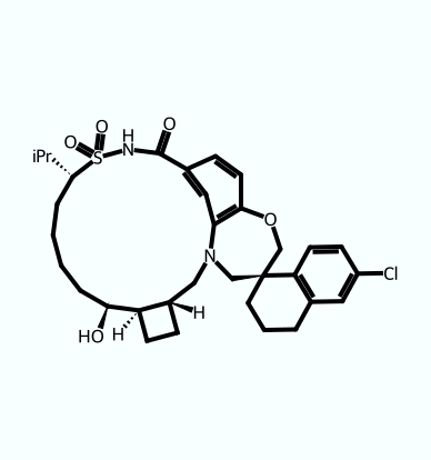 CC(C)[C@H]1CCCC[C@H](O)[C@@H]2CC[C@H]2CN2C[C@@]3(CCCc4cc(Cl)ccc43)COc3ccc(cc32)C(=O)NS1(=O)=O